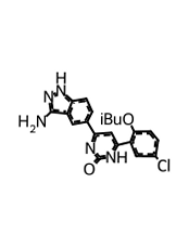 CC(C)COc1ccc(Cl)cc1-c1cc(-c2ccc3[nH]nc(N)c3c2)nc(=O)[nH]1